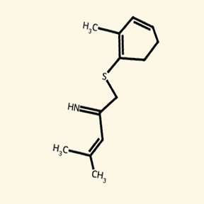 CC(C)=CC(=N)CSC1=C(C)C=CCC1